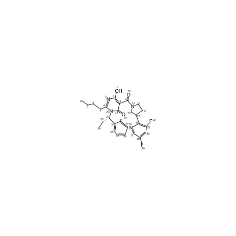 CCCCc1nc(O)c(C(=O)N2CCC(c3ncc(F)cc3F)C2)c(=O)n1[C@@H](CC)c1ccccc1